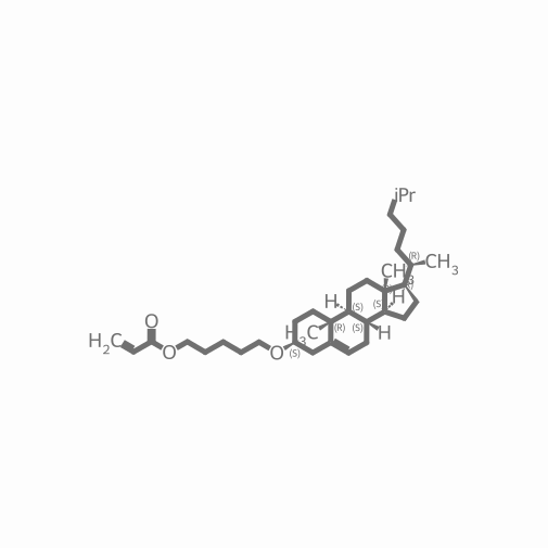 C=CC(=O)OCCCCCO[C@H]1CC[C@@]2(C)C(=CC[C@H]3[C@@H]4CC[C@H]([C@H](C)CCCC(C)C)[C@@]4(C)CC[C@@H]32)C1